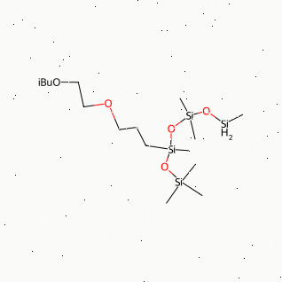 C[SiH2]O[Si](C)(C)O[Si](C)(CCCOCCOCC(C)C)O[Si](C)(C)C